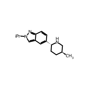 CC(C)n1cc2cc([C@H]3CC[C@H](C)CN3)ccc2n1